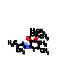 CC(C)/C=N/C(CC(C)C)C(=O)OC(C)(C)C